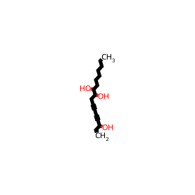 C=CC(O)C#CC#CCC(O)C(O)CCCCCCC